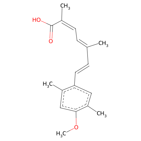 COc1cc(C)c(C=CC(C)=CC=C(C)C(=O)O)cc1C